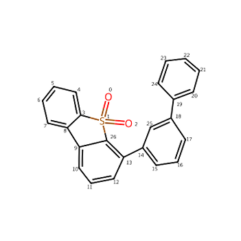 O=S1(=O)c2ccccc2-c2cccc(-c3cccc(-c4ccccc4)c3)c21